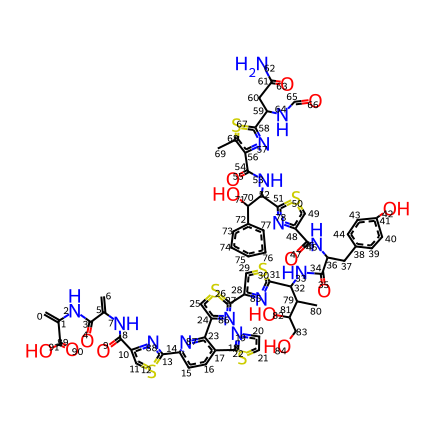 C=C(NC(=O)C(=C)NC(=O)c1csc(-c2ccc(-c3nccs3)c(-c3csc(-c4csc(C(NC(=O)C(Cc5ccc(O)cc5)NC(=O)c5csc(C(NC(=O)c6nc(C(CC(N)=O)NC=O)sc6C)C(O)c6ccccc6)n5)C(C)C(O)CO)n4)n3)n2)n1)C(=O)O